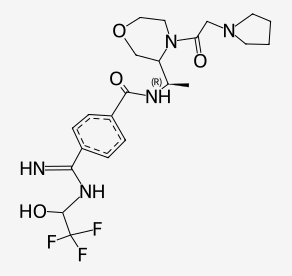 C[C@@H](NC(=O)c1ccc(C(=N)NC(O)C(F)(F)F)cc1)C1COCCN1C(=O)CN1CCCC1